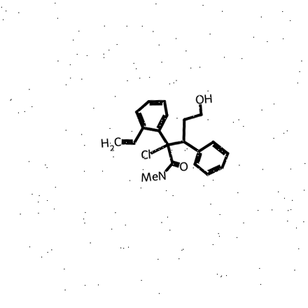 C=Cc1ccccc1C(Cl)(C(=O)NC)C(CCO)c1ccccc1